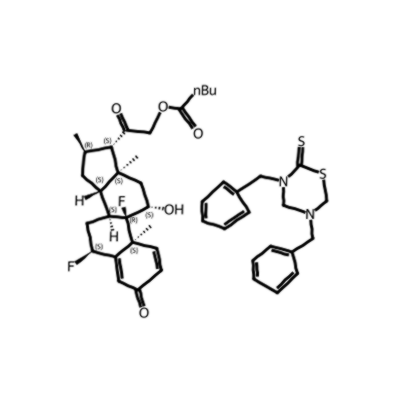 CCCCC(=O)OCC(=O)[C@H]1[C@H](C)C[C@H]2[C@@H]3C[C@H](F)C4=CC(=O)C=C[C@]4(C)[C@@]3(F)[C@@H](O)C[C@@]21C.S=C1SCN(Cc2ccccc2)CN1Cc1ccccc1